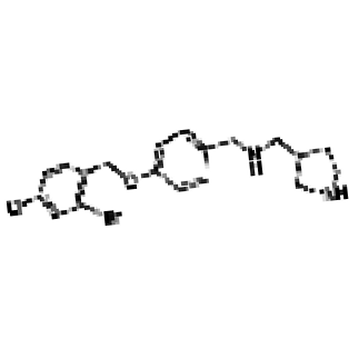 Clc1ccc(COc2ccc(CNCC3CCNC3)cc2)c(Br)c1